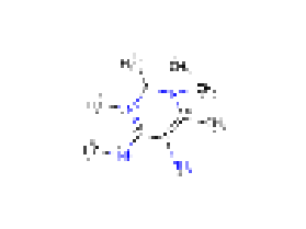 CNC1=[N+](C)C(C)[N+](C)(C)C(C)=C1N